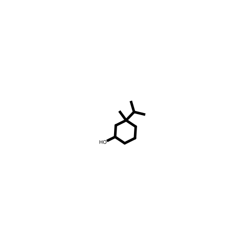 CC(C)C1(C)CCCC(O)C1